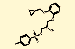 Cc1ccc(S(=O)(=O)OC[C@@H](O)COc2ccccc2OCC2CC2)cc1